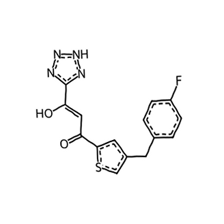 O=C(C=C(O)c1nn[nH]n1)c1cc(Cc2ccc(F)cc2)cs1